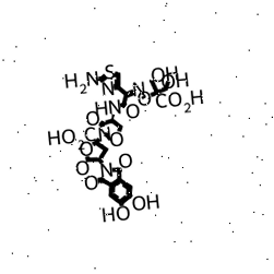 Nc1nc(/C(=N/OC(CO)(CO)C(=O)O)C(=O)N[C@H]2CON(C3(C(=O)O)CC(N4C(=O)c5cc(O)c(O)cc5C4=O)C(=O)O3)C2=O)cs1